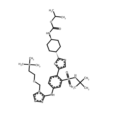 CC(C)OC(=O)N[C@H]1CC[C@H](c2ncc(-c3ccc(Nc4nncn4COCC[Si](C)(C)C)cc3S(=O)(=O)NC(C)(C)C)s2)CC1